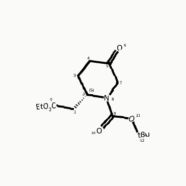 CCOC(=O)C[C@@H]1CCC(=O)CN1C(=O)OC(C)(C)C